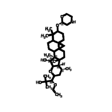 CCO[C@@H](C1C[C@@H](C)[C@H]2C(O1)[C@H](O)[C@@]1(C)C3CCC4C(C)(C)C(O[C@H]5CNCCO5)CCC45CC35CCC21C)C(C)(C)O